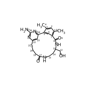 Cc1cc(C)c2cc1C(=O)NC(CO)CCNC(=O)CCSc1cc-2nc(N)n1